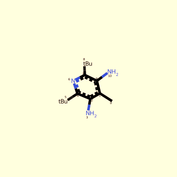 Cc1c(N)c(C(C)(C)C)nc(C(C)(C)C)c1N